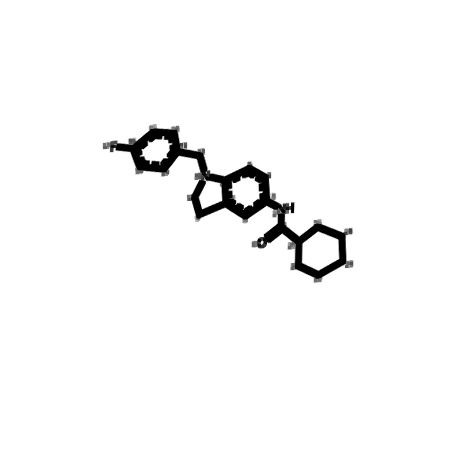 O=C(Nc1ccc2c(c1)CCN2Cc1ccc(F)cc1)C1CCCCC1